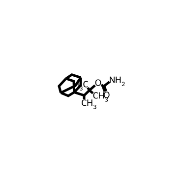 CC(C12CC3CC(CC(C3)C1)C2)C(C)(C)OC(N)=O